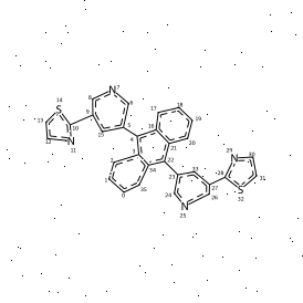 c1ccc2c(-c3cncc(-c4nccs4)c3)c3ccccc3c(-c3cncc(-c4nccs4)c3)c2c1